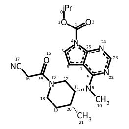 CC(C)OC(=O)n1ccc2c(N(C)[C@H]3CN(C(=O)CC#N)CC[C@H]3C)ncnc21